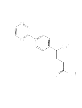 O=C(O)CCC(O)c1ccc(-c2cnccn2)cc1